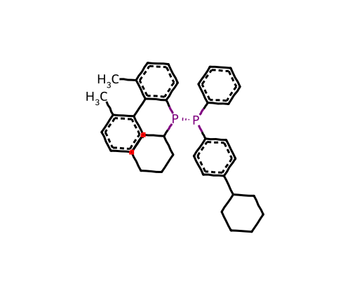 Cc1ccc[c]c1-c1c(C)cccc1P(C1CCCCC1)[P@](c1ccccc1)c1ccc(C2CCCCC2)cc1